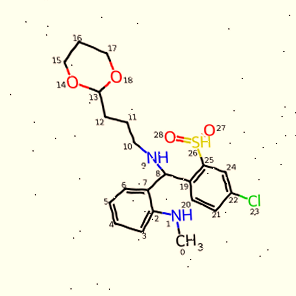 CNc1ccccc1C(NCCCC1OCCCO1)c1ccc(Cl)cc1[SH](=O)=O